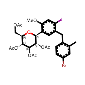 COc1cc(I)c(Cc2ccc(Br)cc2C)cc1[C@@H]1O[C@H](COC(C)=O)[C@@H](OC(C)=O)[C@H](OC(C)=O)[C@H]1OC(C)=O